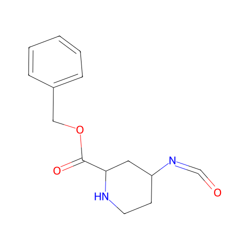 O=C=NC1CCNC(C(=O)OCc2ccccc2)C1